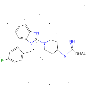 CC(=O)NC(=N)N(C)C1CCN(c2nc3ccccc3n2Cc2ccc(F)cc2)CC1